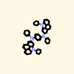 c1ccc(N(c2ccc(N(c3ccccc3)c3cc4ccc5cccc6c5c4c(c3)n6-c3ccccc3)cc2)c2cc3ccc4cccc5c4c3c(c2)n5-c2ccccc2)cc1